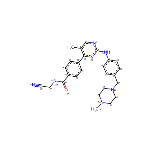 Cc1cnc(Nc2ccc(CN3CCN(C)CC3)cc2)nc1-c1ccc(C(=O)NCC#N)cc1